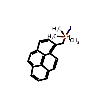 C[SH](C)(C)(I)Cc1ccc2ccc3cccc4ccc1c2c34